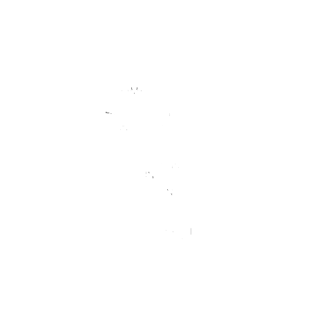 COC[C@H](C)Oc1cc(Oc2cccc(C)c2)cc(C(=O)Nc2ccc(C(=O)O)cn2)c1